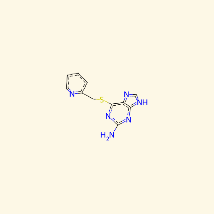 Nc1nc(SCc2ccccn2)c2nc[nH]c2n1